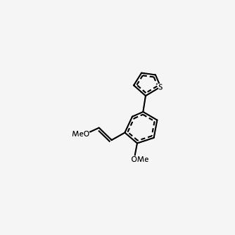 COC=Cc1cc(-c2cccs2)ccc1OC